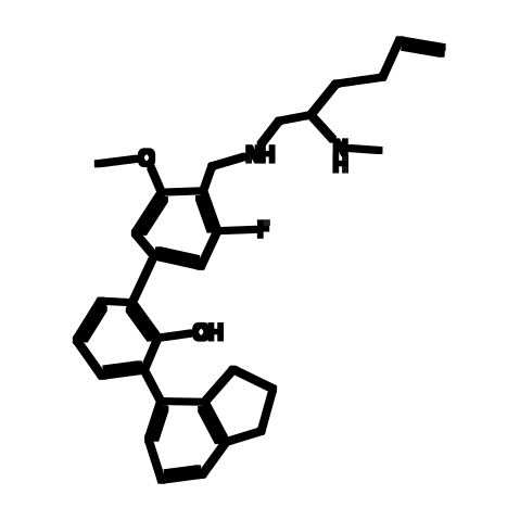 C=CCCC(CNCc1c(F)cc(-c2cccc(-c3cccc4c3CCC4)c2O)cc1OC)NC